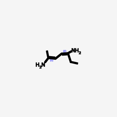 CC/C(N)=C\C=C(/C)N